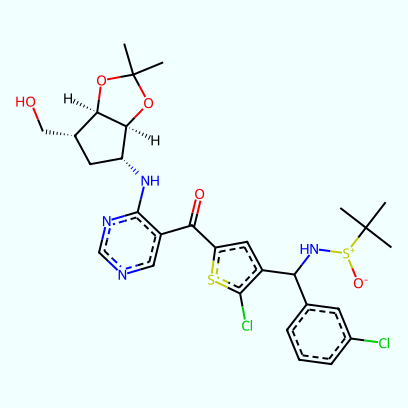 CC1(C)O[C@@H]2[C@@H](CO)C[C@@H](Nc3ncncc3C(=O)c3cc(C(N[S+]([O-])C(C)(C)C)c4cccc(Cl)c4)c(Cl)s3)[C@@H]2O1